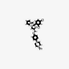 CC(C)N1CCN(c2ccc(OC[C@H]3CO[C@@](Cn4cccc4)(c4ccc(Cl)cc4Cl)O3)cc2)CC1